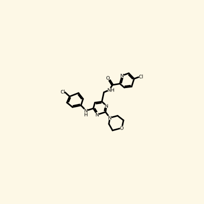 O=C(NCc1cc(Nc2ccc(Cl)cc2)nc(N2CCOCC2)n1)c1ccc(Cl)cn1